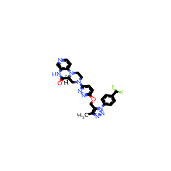 Cc1nnn(-c2ccc(C(F)F)cc2)c1COc1ccc(N2CCN3c4ccncc4NC(=O)[C@@H]3C2)nn1